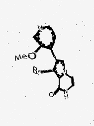 COc1cnccc1-c1cn2c(c1Br)C(=O)NCC2